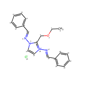 CCOCc1n(/N=C/c2ccccc2)cc[n+]1/N=C/c1ccccc1.[Cl-]